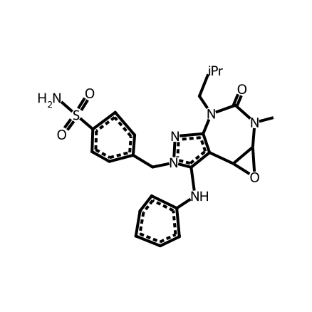 CC(C)CN1C(=O)N(C)C2OC2c2c1nn(Cc1ccc(S(N)(=O)=O)cc1)c2Nc1ccccc1